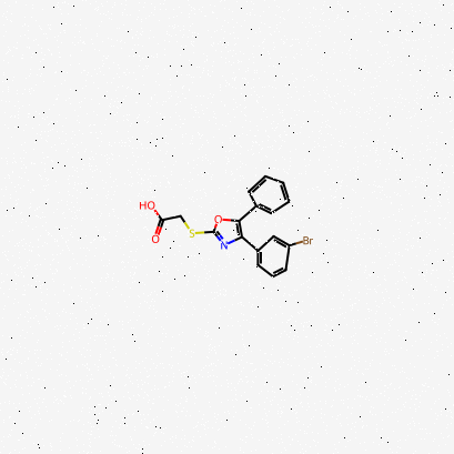 O=C(O)CSc1nc(-c2cccc(Br)c2)c(-c2ccccc2)o1